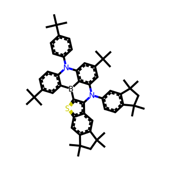 CC(C)(C)c1ccc(N2c3ccc(C(C)(C)C)cc3B3c4sc5cc6c(cc5c4N(c4ccc5c(c4)C(C)(C)CC5(C)C)c4cc(C(C)(C)C)cc2c43)C(C)(C)CC6(C)C)cc1